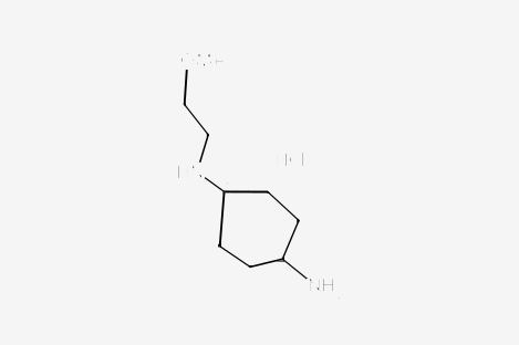 COCCNC1CCC(N)CC1.Cl